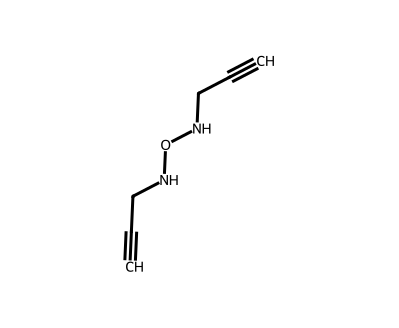 C#CCNONCC#C